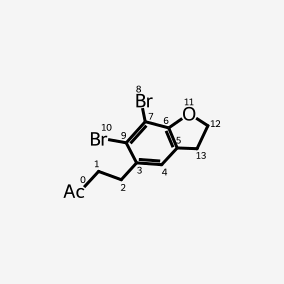 CC(=O)CCc1cc2c(c(Br)c1Br)OCC2